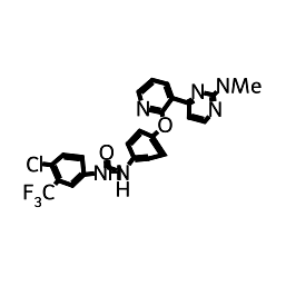 CNc1nccc(-c2cccnc2Oc2ccc(NC(=O)Nc3ccc(Cl)c(C(F)(F)F)c3)cc2)n1